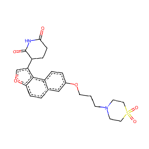 O=C1CCC(c2coc3ccc4cc(OCCCN5CCS(=O)(=O)CC5)ccc4c23)C(=O)N1